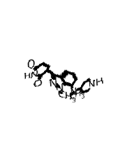 CN(c1cccc2c(C3CCC(=O)NC3=O)nn(C)c12)C1CCNCC1